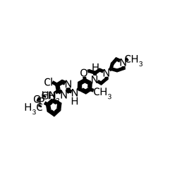 Cc1cc(Nc2ncc(Cl)c(Nc3ccccc3P(C)(C)=O)n2)cc2c1N1CCN(C3CCN(C)CC3)C[C@H]1CO2